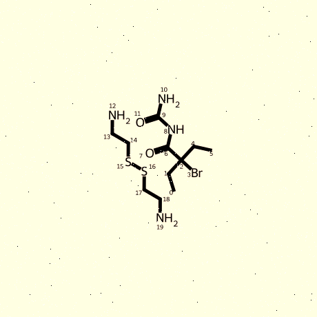 CCC(Br)(CC)C(=O)NC(N)=O.NCCSSCCN